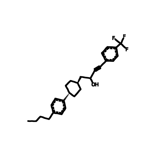 CCCCc1ccc([C@H]2CC[C@H](CC(O)C#Cc3ccc(C(F)(F)F)cc3)CC2)cc1